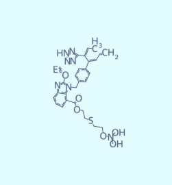 C=C/C=C(\C(=C/C)c1nn[nH]n1)c1ccc(Cn2c(OCC)nc3cccc(C(=O)OCCSCCON(O)O)c32)cc1